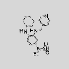 [CH2]CN(c1ccc(NC2CCCCC2)c(NCc2ccncc2)c1)[SH](=O)=O